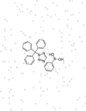 OB(O)c1ccccc1.c1ccc(C(c2ccccc2)(c2ccccc2)n2ncnn2)cc1